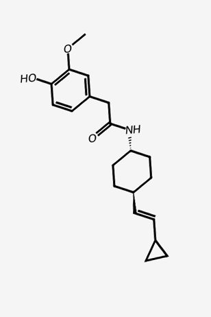 COc1cc(CC(=O)N[C@H]2CC[C@H](/C=C/C3CC3)CC2)ccc1O